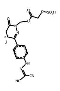 C[C@@H]1CC(=O)N(COC(=O)COS(=O)(=O)O)N=C1c1ccc(NN=C(C#N)C#N)cc1